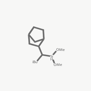 CCC(C)C(C1CC2CCC1C2)[SiH](OC)OC